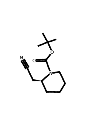 CC(C)(C)OC(=O)N1CCCC[C@H]1CC#N